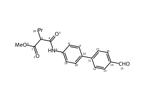 COC(=O)C(C(=O)Nc1ccc(-c2ccc(C=O)cc2)cc1)C(C)C